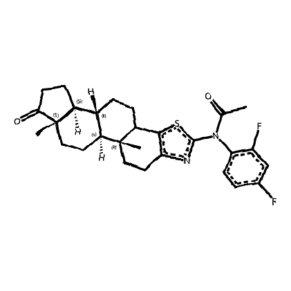 CC(=O)N(c1nc2c(s1)C1CC[C@@H]3[C@H](CC[C@]4(C)C(=O)CC[C@@H]34)[C@@]1(C)CC2)c1ccc(F)cc1F